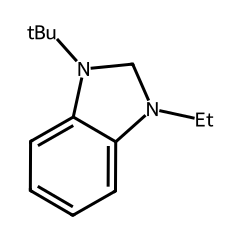 CCN1CN(C(C)(C)C)c2ccccc21